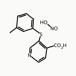 Cc1cccc(Sc2cnccc2C(=O)O)c1.O=NO